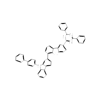 c1ccc(-c2ccc(-n3c4ccccc4c4ccc(-c5cccc6c5oc5ccc(-c7nc(-c8ccccc8)nc(-c8ccccc8)n7)cc56)cc43)cc2)cc1